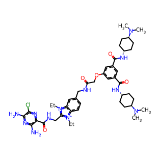 CCn1c(CNC(=O)c2nc(Cl)c(N)nc2N)[n+](CC)c2ccc(CNC(=O)COc3cc(C(=O)N[C@H]4CC[C@H](N(C)C)CC4)cc(C(=O)N[C@H]4CC[C@H](N(C)C)CC4)c3)cc21